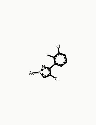 CC(=O)n1cc(Cl)c(-c2cccc(Cl)c2C)n1